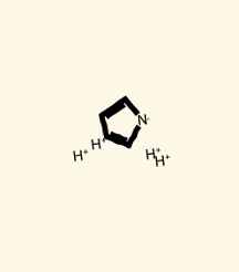 C1=C[N]C=C1.[H+].[H+].[H+].[H+]